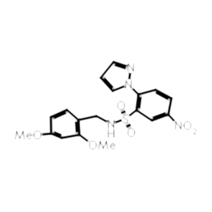 COc1ccc(CNS(=O)(=O)c2cc([N+](=O)[O-])ccc2-n2c[c]cn2)c(OC)c1